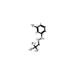 Fc1cccc(SSCC(F)(F)F)c1